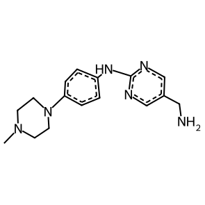 CN1CCN(c2ccc(Nc3ncc(CN)cn3)cc2)CC1